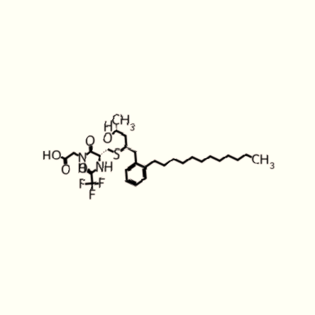 CCCCCCCCCCCCc1ccccc1C[C@H](C[C@@H](C)O)SC[C@H](NC(=O)C(F)(F)F)C(=O)NCC(=O)O